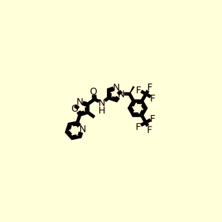 Cc1c(C(=O)Nc2cnn([C@@H](C)c3ccc(C(F)(F)F)cc3C(F)(F)F)c2)noc1-c1ccccn1